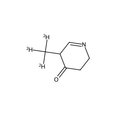 [2H]C([2H])([2H])C1C=NCCC1=O